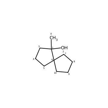 CC1(O)CCCC12CCCC2